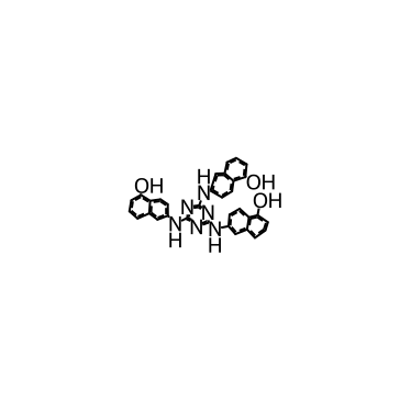 Oc1cccc2cc(Nc3nc(Nc4ccc5c(O)cccc5c4)nc(Nc4ccc5c(O)cccc5c4)n3)ccc12